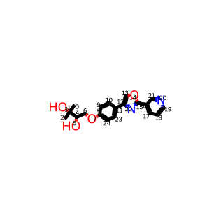 CC(C)(O)C(O)COc1ccc(-c2coc(-c3cccnc3)n2)cc1